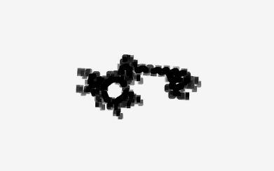 CC[C@H]1OC(=O)[C@H](C)[C@@H](O[C@H]2C[C@@](C)(OC)[C@@H](OCCCOCCCCc3cc4c5c(c3)c(=O)c(C(=O)O)cn5C(C)(C)OC4)[C@H](C)O2)[C@H](C)[C@@H](O[C@@H]2O[C@H](C)C[C@H](N(C)C)[C@H]2O)[C@](C)(O)C[C@@H](C)CN(C)[C@H](C)[C@@H](O)[C@]1(C)O